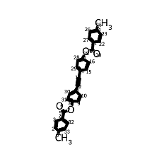 Cc1ccc(C(=O)Oc2ccc(C#Cc3ccc(OC(=O)c4ccc(C)cc4)cc3)cc2)cc1